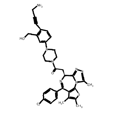 Cc1sc2c(c1C)C(c1ccc(Cl)cc1)=N[C@@H](CC(=O)N1CCN(c3ccc(C#CCN)c(CO)c3)CC1)c1nnc(C)n1-2